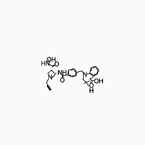 C#CCN1C[C@H](C(=O)NO)[C@H](NC(=O)c2ccc(CN3CC(C)(C)S(O)(O)c4ccccc43)cc2)C1